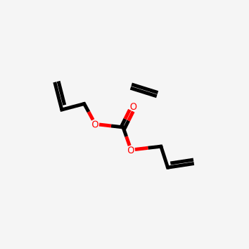 C=C.C=CCOC(=O)OCC=C